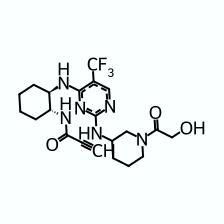 C#CC(=O)N[C@@H]1CCCC[C@H]1Nc1nc(NC2CCCN(C(=O)CO)C2)ncc1C(F)(F)F